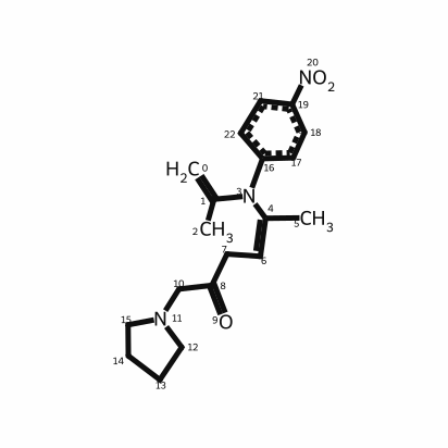 C=C(C)N(/C(C)=C\CC(=O)CN1CCCC1)c1ccc([N+](=O)[O-])cc1